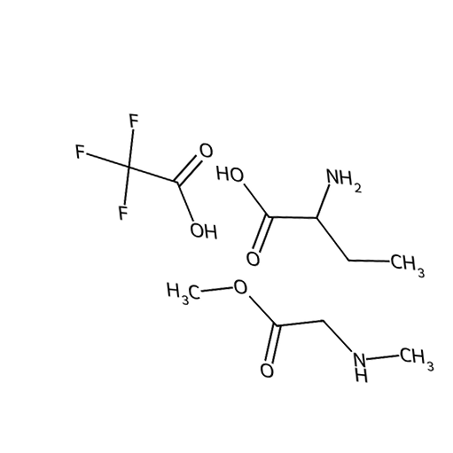 CCC(N)C(=O)O.CNCC(=O)OC.O=C(O)C(F)(F)F